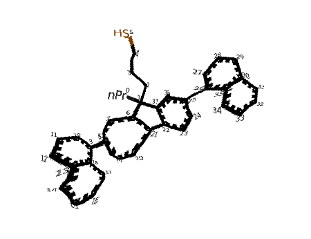 CCCC1(CCCS)c2cc(-c3cccc4ccccc34)ccc2-c2ccc(-c3cccc4ccccc34)cc21